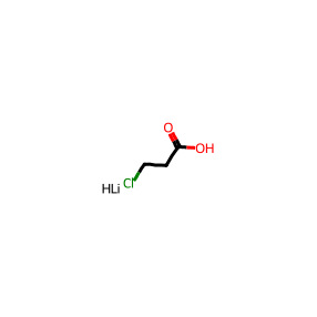 O=C(O)CCCl.[LiH]